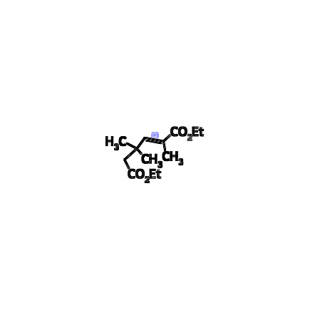 CCOC(=O)CC(C)(C)/C=C(\C)C(=O)OCC